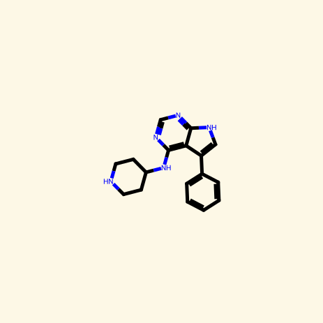 c1ccc(-c2c[nH]c3ncnc(NC4CCNCC4)c23)cc1